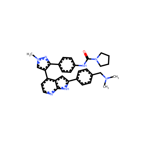 CN(C)Cc1ccc(-c2cc3c(-c4cn(C)nc4-c4ccc(NC(=O)N5CCCC5)cc4)ccnc3[nH]2)cc1